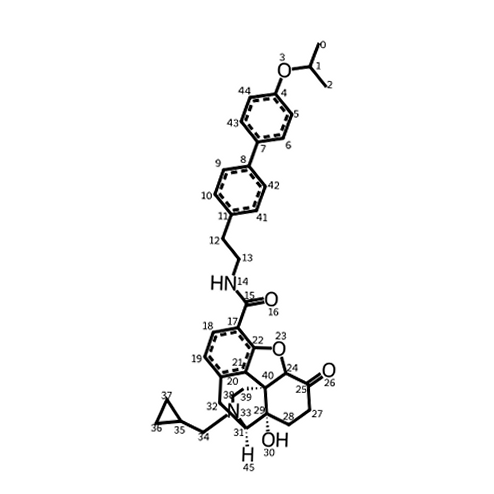 CC(C)Oc1ccc(-c2ccc(CCNC(=O)c3ccc4c5c3OC3C(=O)CC[C@@]6(O)[C@@H](C4)N(CC4CC4)CC[C@]536)cc2)cc1